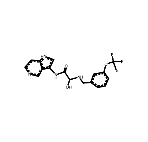 O=C(Nc1c[nH]c2ccncc12)C(O)NCc1cccc(OC(F)(F)F)c1